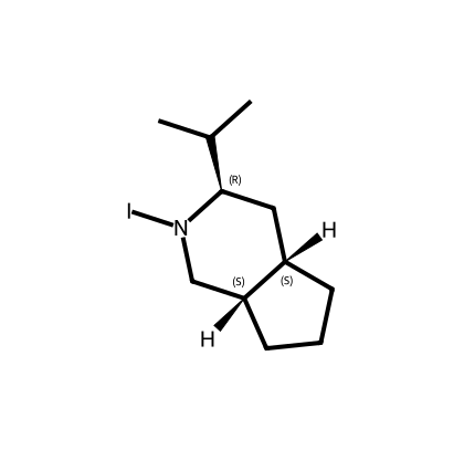 CC(C)[C@H]1C[C@@H]2CCC[C@@H]2CN1I